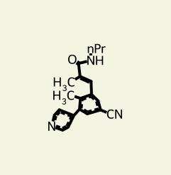 CCCNC(=O)/C(C)=C/c1cc(C#N)cc(-c2ccncc2)c1C